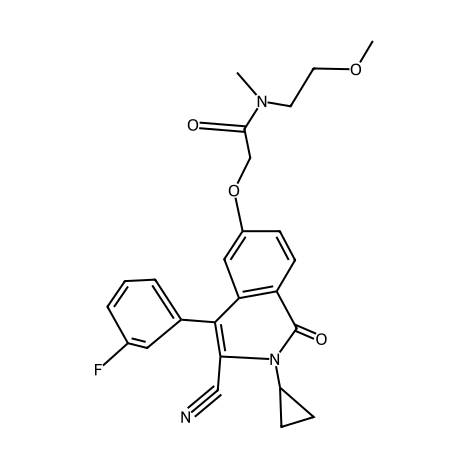 COCCN(C)C(=O)COc1ccc2c(=O)n(C3CC3)c(C#N)c(-c3cccc(F)c3)c2c1